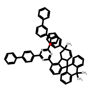 CC1(c2ccc(-c3cccc(-c4ccccc4)c3)cc2)C=CC2C(C1)c1c(-c3nc(-c4ccccc4)nc(-c4ccc(-c5ccccc5)cc4)n3)cccc1C21c2ccccc2C(C)(C)c2ccccc21